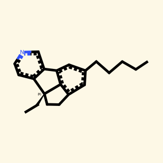 CCCCCc1cc2c3c(c1)-c1cnccc1[C@@]3(CC)CC2